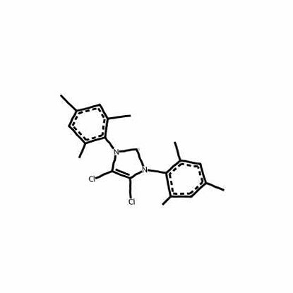 Cc1cc(C)c(N2[C]N(c3c(C)cc(C)cc3C)C(Cl)=C2Cl)c(C)c1